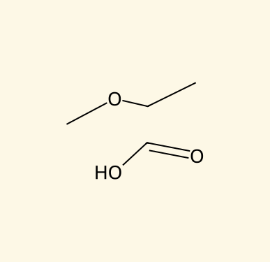 CCOC.O=CO